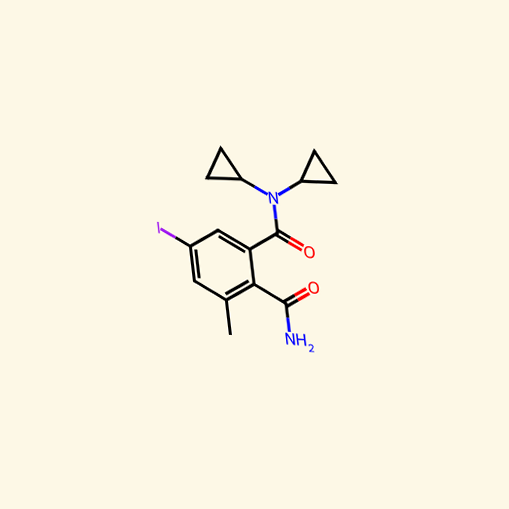 Cc1cc(I)cc(C(=O)N(C2CC2)C2CC2)c1C(N)=O